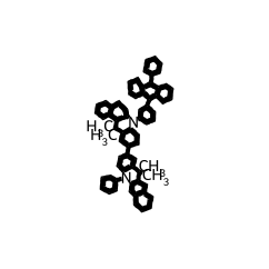 CC1(C)c2cc(-c3ccc4c(c3)C(C)(C)c3c(ccc5ccccc35)N4c3cccc(-c4c5ccccc5c(-c5ccccc5)c5ccccc45)c3)ccc2N(c2ccccc2)c2cc3ccccc3cc21